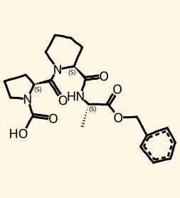 C[C@H](NC(=O)[C@@H]1CCCCN1C(=O)[C@@H]1CCCN1C(=O)O)C(=O)OCc1ccccc1